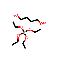 CCO[Si](OCC)(OCC)OCC.OCCCCO